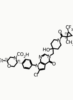 CC[C@H]1CN(C(=O)O)[C@H](c2ccc(-n3c(Cl)cc4c(=O)n(CC5(O)CCN(C(=O)[C@@]6(C)C[C@@H]6C(F)(F)F)CC5)cnc43)cc2)CO1